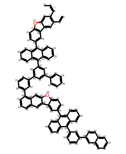 C=Cc1cc2c(cc1/C=C\C)oc1ccc(-c3c4ccccc4c(-c4cc(-c5ccccc5)cc(-c5cccc(-c6cccc7cc8c(cc67)oc6ccc(-c7c9ccccc9c(-c9cccc(-c%10ccc%11ccccc%11c%10)c9)c9ccccc79)cc68)c5)c4)c4ccccc34)cc12